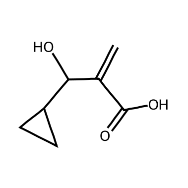 C=C(C(=O)O)C(O)C1CC1